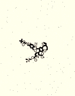 COC(=O)c1nc(C(=O)OCC[Si](C)(C)C)ccc1-c1cc2c(cc1C(=O)Nc1ccc(CNC(=O)OC(C)(C)C)cc1C)-c1sccc1CCO2